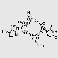 COOP1(=O)OC[C@H]2O[C@@H](n3cnc4c(N)ncnc43)[C@H](O)[C@@H]2OP(=O)(OC)OC[C@H]2O[C@@H](n3ccc(=O)[nH]c3=O)[C@H](O1)[C@@H]2O